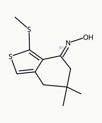 CSc1scc2c1/C(=N/O)CC(C)(C)C2